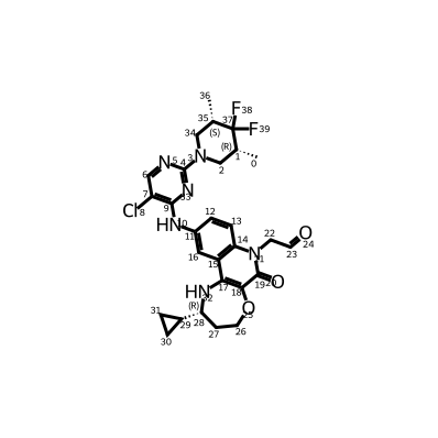 C[C@@H]1CN(c2ncc(Cl)c(Nc3ccc4c(c3)c3c(c(=O)n4CC=O)OCC[C@H](C4CC4)N3)n2)C[C@H](C)C1(F)F